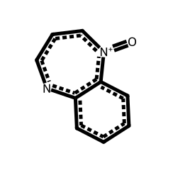 O=[n+]1cccnc2ccccc21